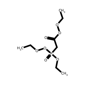 CCOOC(=O)CP(=O)(OCC)OOCC